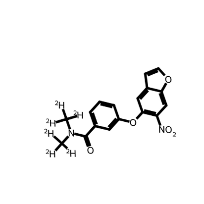 [2H]C([2H])([2H])N(C(=O)c1cccc(Oc2cc3ccoc3cc2[N+](=O)[O-])c1)C([2H])([2H])[2H]